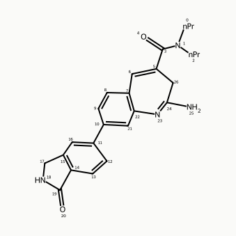 CCCN(CCC)C(=O)C1=Cc2ccc(-c3ccc4c(c3)CNC4=O)cc2N=C(N)C1